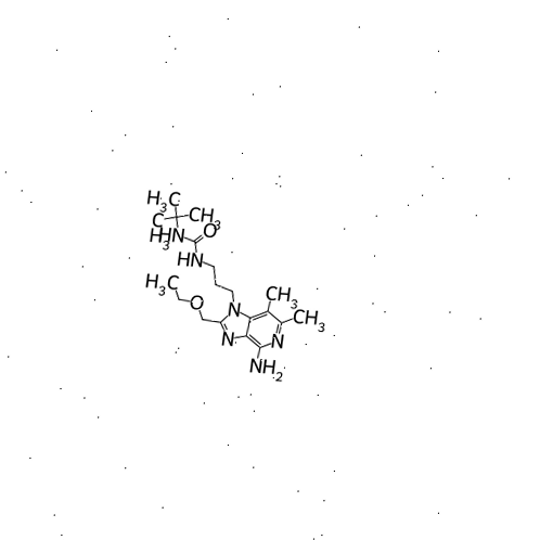 CCOCc1nc2c(N)nc(C)c(C)c2n1CCCNC(=O)NC(C)(C)C